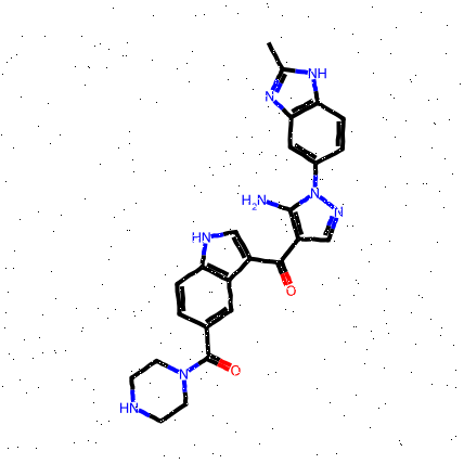 Cc1nc2cc(-n3ncc(C(=O)c4c[nH]c5ccc(C(=O)N6CCNCC6)cc45)c3N)ccc2[nH]1